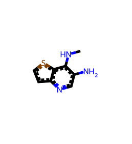 CNc1c(N)cnc2ccsc12